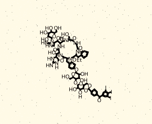 CCC(c1ccccc1)C1NC(=O)CNC(=O)C(CO)NC(=O)C(C(O)C2CNC(=N)N2C2OC(CO)C(O)C(O)C2O)NC(=O)C(C(O)C2CNC(=N)N2)NC(=O)C(Cc2ccc(OC3OC(CO)C(OC4OC5COC(c6ccc(C(=O)c7cc(I)c(I)c(I)c7)cc6)OC5C(O)C4O)C(O)C3O)cc2)NC1=O